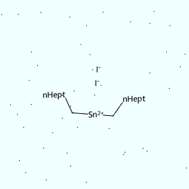 CCCCCCC[CH2][Sn+2][CH2]CCCCCCC.[I-].[I-]